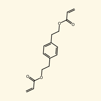 C=CC(=O)OCCc1ccc(CCOC(=O)C=C)cc1